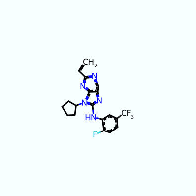 C=Cc1ncc2nc(Nc3cc(C(F)(F)F)ccc3F)n(C3CCCC3)c2n1